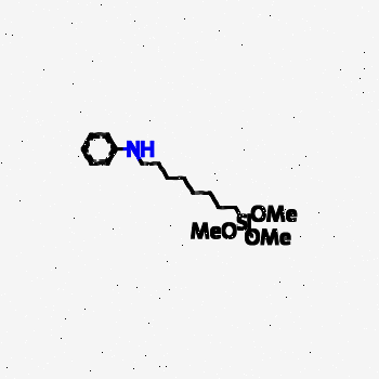 CO[Si](CCCCCCCCNc1ccccc1)(OC)OC